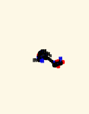 CC(C)c1cnn2c(NCc3ccc(CCCCCCNc4cccc5c4C(=O)N(C4CCC(=O)NC4=O)C5=O)cc3N(C)C)nc(OC3CCN(C)CC3)nc12